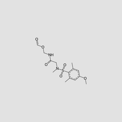 COc1cc(C)c(S(=O)(=O)N(C)CC(=O)NCOC=O)c(C)c1